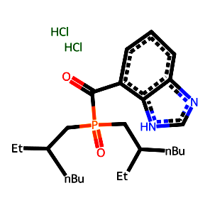 CCCCC(CC)CP(=O)(CC(CC)CCCC)C(=O)c1cccc2nc[nH]c12.Cl.Cl